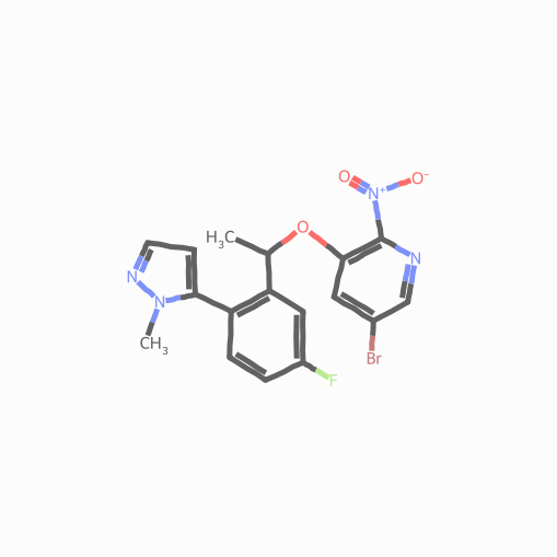 CC(Oc1cc(Br)cnc1[N+](=O)[O-])c1cc(F)ccc1-c1ccnn1C